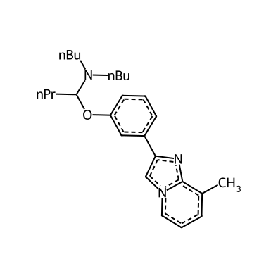 CCCCN(CCCC)C(CCC)Oc1cccc(-c2cn3cccc(C)c3n2)c1